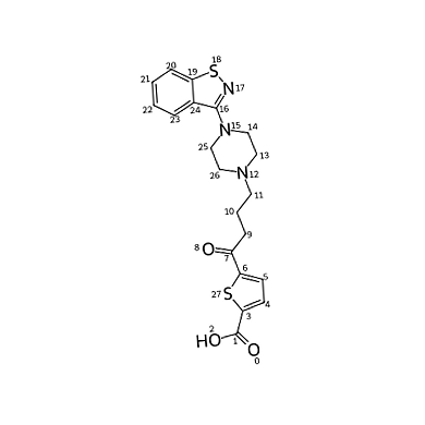 O=C(O)c1ccc(C(=O)CCCN2CCN(c3nsc4ccccc34)CC2)s1